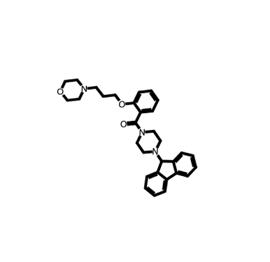 O=C(c1ccccc1OCCCN1CCOCC1)N1CCN(C2c3ccccc3-c3ccccc32)CC1